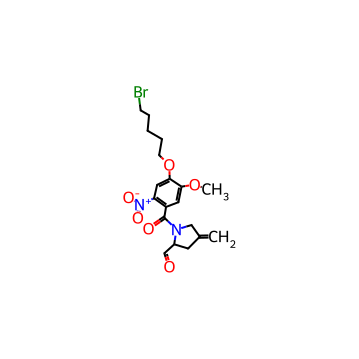 C=C1CC(C=O)N(C(=O)c2cc(OC)c(OCCCCCBr)cc2[N+](=O)[O-])C1